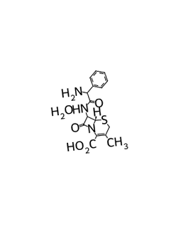 CC1=C(C(=O)O)N2C(=O)C(NC(=O)C(N)c3ccccc3)[C@@H]2SC1.O